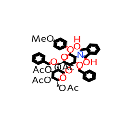 COc1ccc(O[C@@H]2O[C@H](COCc3ccccc3)[C@@H](O[C@@H]3O[C@H](COC(C)=O)[C@H](OC(C)=O)[C@H](OC(C)=O)[C@H]3OC(C)=O)[C@H](OCc3ccccc3)[C@H]2N2C(O)c3ccccc3C2O)cc1